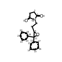 O=C1CCC(=O)N1CCC1OC1(c1ccccc1)c1ccccc1